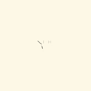 I[I-]I.[PbH2]